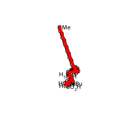 COCCOCCOCCOCCOCCOCCOCCOCCOCCOCCOCCOCCn1cc([C@H](CC(=O)NC(C(=O)N[C@@H](C)C(=O)Nc2ccc(COC(=O)C(C)(C)C)c(CC[C@@H]3O[C@H](C(=O)O)[C@@H](O)[C@H](O)[C@H]3O)c2)C(C)C)N2C(=O)C=CC2=O)nn1